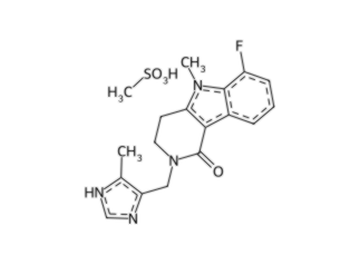 CS(=O)(=O)O.Cc1[nH]cnc1CN1CCc2c(c3cccc(F)c3n2C)C1=O